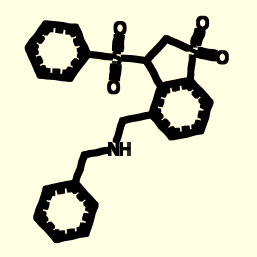 O=S1(=O)CC(S(=O)(=O)c2ccccc2)c2c(CNCc3ccccc3)cccc21